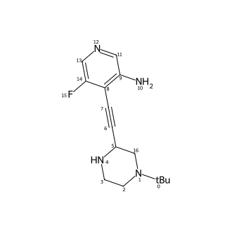 CC(C)(C)N1CCNC(C#Cc2c(N)cncc2F)C1